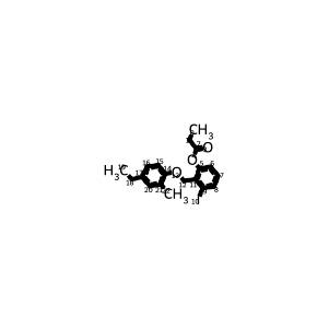 CCC(=O)Oc1cccc(I)c1COc1ccc(CC)cc1C